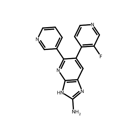 Nc1nc2cc(-c3ccncc3F)c(-c3cccnc3)nc2[nH]1